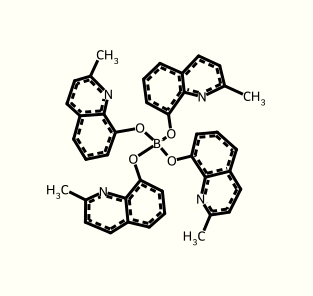 Cc1ccc2cccc(O[B-](Oc3cccc4ccc(C)nc34)(Oc3cccc4ccc(C)nc34)Oc3cccc4ccc(C)nc34)c2n1